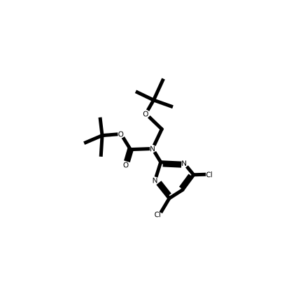 CC(C)(C)OCN(C(=O)OC(C)(C)C)c1nc(Cl)cc(Cl)n1